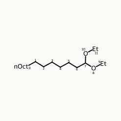 CCCCCCCCCCCCCCC(OCC)OCC